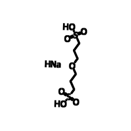 O=S(=O)(O)CCCOCCCS(=O)(=O)O.[NaH]